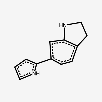 c1c[nH]c(-c2ccc3c(c2)NCC3)c1